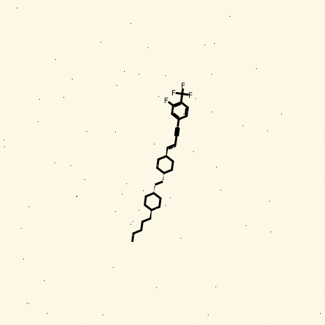 CCCCC[C@H]1CC[C@H](CC[C@H]2CC[C@H](C=CC#Cc3ccc(C(F)(F)F)c(F)c3)CC2)CC1